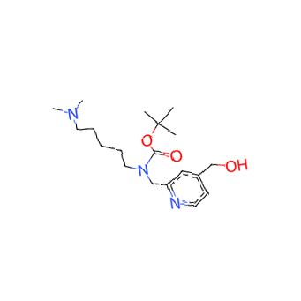 CN(C)CCCCCN(Cc1cc(CO)ccn1)C(=O)OC(C)(C)C